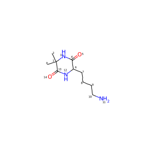 CC1(C)NC(=O)C(CCCCN)NC1=O